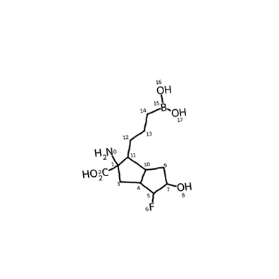 NC1(C(=O)O)CC2C(F)C(O)CC2C1CCCB(O)O